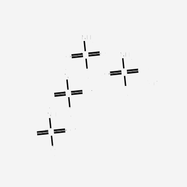 NS(=O)(=O)[O-].NS(=O)(=O)[O-].NS(=O)(=O)[O-].NS(=O)(=O)[O-].[Ru+4]